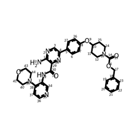 Nc1ncc(-c2ccc(OC3CCN(C(=O)OCc4ccccc4)CC3)cc2)nc1C(=O)Nc1cnccc1N1CCOCC1